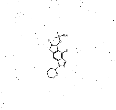 CC(C)(C)[Si](C)(C)OC1=C(F)Cc2cc3c(cnn3C3CCCCO3)c(Br)c21